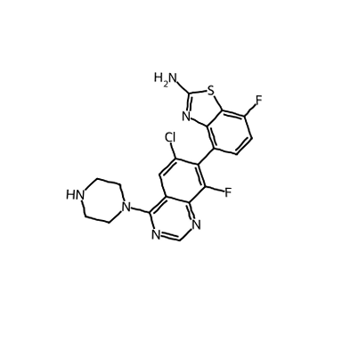 Nc1nc2c(-c3c(Cl)cc4c(N5CCNCC5)ncnc4c3F)ccc(F)c2s1